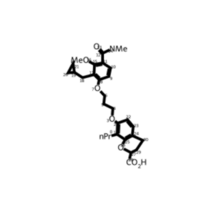 CCCc1c(OCCCOc2ccc(C(=O)NC)c(OC)c2CC2CC2)ccc2c1OC(C(=O)O)CC2